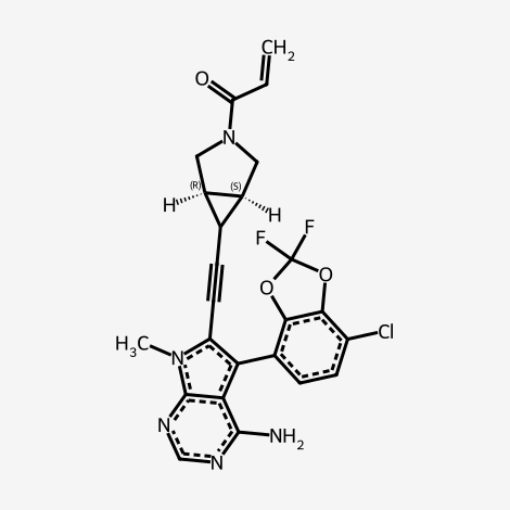 C=CC(=O)N1C[C@@H]2C(C#Cc3c(-c4ccc(Cl)c5c4OC(F)(F)O5)c4c(N)ncnc4n3C)[C@@H]2C1